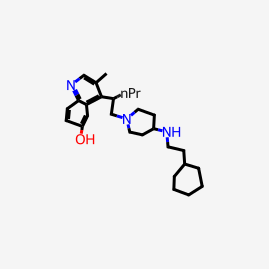 CCCC(CN1CCC(NCCC2CCCCC2)CC1)c1c(C)cnc2ccc(O)cc12